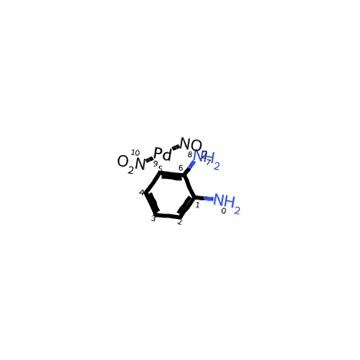 Nc1ccccc1N.O=[N+]([O-])[Pd][N+](=O)[O-]